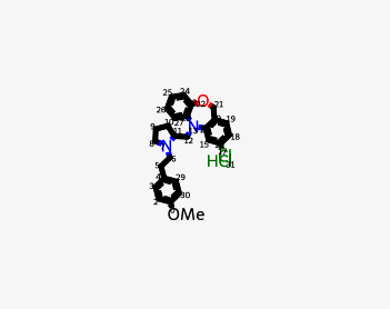 COc1ccc(CCN2CCCC2CN2c3cc(Cl)ccc3COc3ccccc32)cc1.Cl